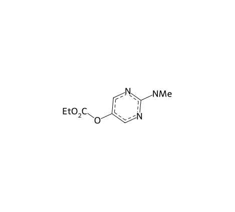 CCOC(=O)Oc1cnc(NC)nc1